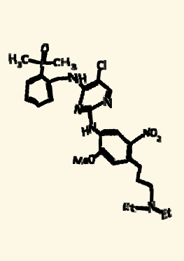 CCN(CC)CCCc1cc(OC)c(Nc2ncc(Cl)c(Nc3ccccc3P(C)(C)=O)n2)cc1[N+](=O)[O-]